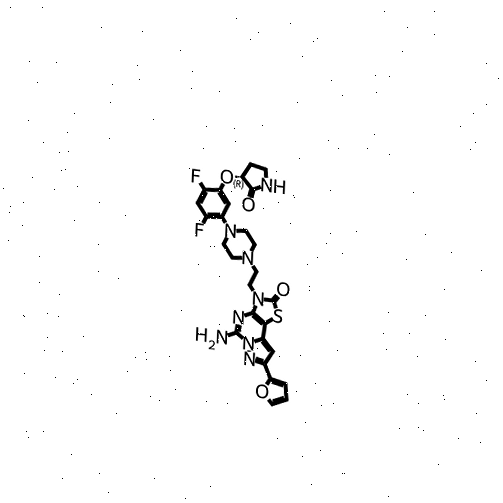 Nc1nc2c(sc(=O)n2CCN2CCN(c3cc(O[C@@H]4CCNC4=O)c(F)cc3F)CC2)c2cc(-c3ccco3)nn12